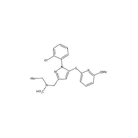 COc1cccc(Sc2cc(CN(CC(C)(C)C)C(=O)O)nn2-c2ccccc2Cl)n1